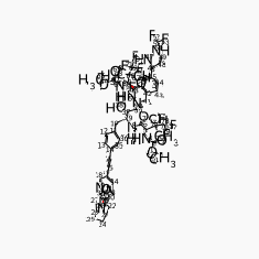 COC(=O)N[C@H](C(=O)N[C@@H](Cc1ccc(C#Cc2cnc(N3CC4CCC(C3)N4C3COC3)nc2)cc1)[C@@H](O)CN(Cc1ccc(C(=N)/C=C\NC(F)F)cc1F)NC(=O)[C@@H](NC(=O)OC)C(C)(C)C(F)(F)F)C(C)(C)C(F)(F)F